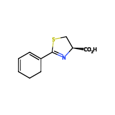 O=C(O)[C@@H]1CSC(C2=CC=CCC2)=N1